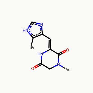 CC(=O)N1CC(=O)NC(=Cc2nc[nH]c2C(C)C)C1=O